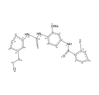 COc1cc(NC(=O)c2ccccc2F)ccc1NC(=S)Nc1cccc(SCCl)c1